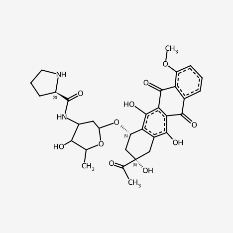 COc1cccc2c1C(=O)c1c(O)c3c(c(O)c1C2=O)C[C@@](O)(C(C)=O)C[C@@H]3OC1CC(NC(=O)[C@H]2CCCN2)C(O)C(C)O1